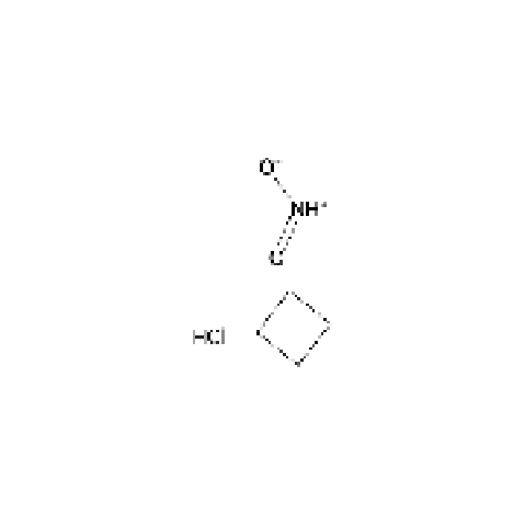 C1CCC1.Cl.O=[NH+][O-]